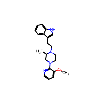 COc1cccnc1N1CCN(CCc2c[nH]c3ccccc23)C(C)C1